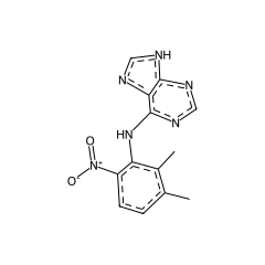 Cc1ccc([N+](=O)[O-])c(Nc2ncnc3[nH]cnc23)c1C